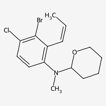 C/C=C\c1c(N(C)C2CCCCO2)ccc(Cl)c1Br